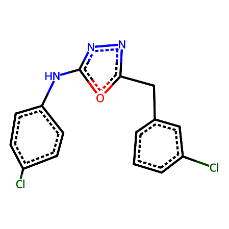 Clc1ccc(Nc2nnc(Cc3cccc(Cl)c3)o2)cc1